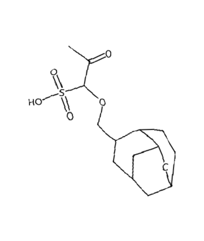 CC(=O)C(OCC1CC2CC3CCC1C(C3)C2)S(=O)(=O)O